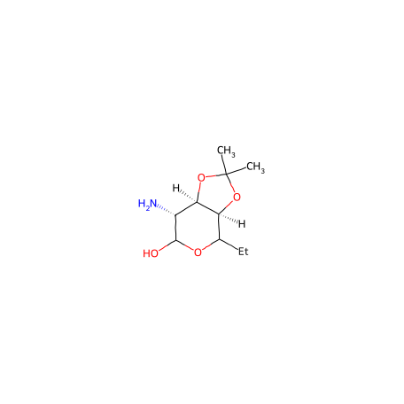 CCC1OC(O)[C@H](N)[C@H]2OC(C)(C)O[C@@H]12